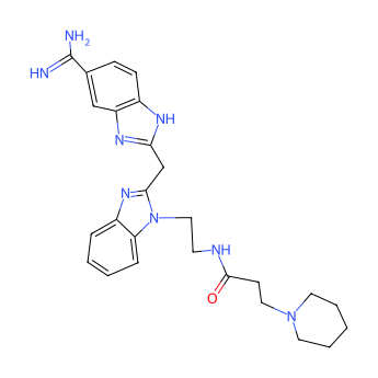 N=C(N)c1ccc2[nH]c(Cc3nc4ccccc4n3CCNC(=O)CCN3CCCCC3)nc2c1